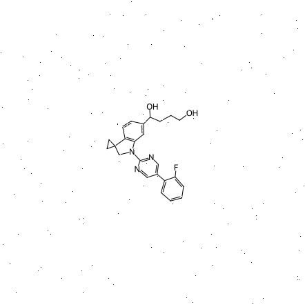 OCCCC(O)c1ccc2c(c1)N(c1ncc(-c3ccccc3F)cn1)CC21CC1